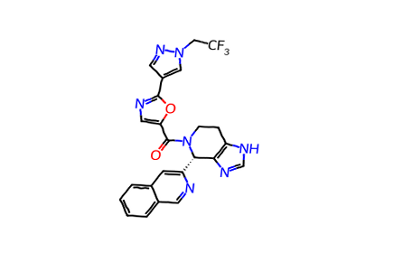 O=C(c1cnc(-c2cnn(CC(F)(F)F)c2)o1)N1CCc2[nH]cnc2[C@@H]1c1cc2ccccc2cn1